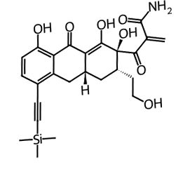 C=C(C(N)=O)C(=O)[C@@]1(O)C(O)=C2C(=O)c3c(O)ccc(C#C[Si](C)(C)C)c3C[C@H]2C[C@H]1CCO